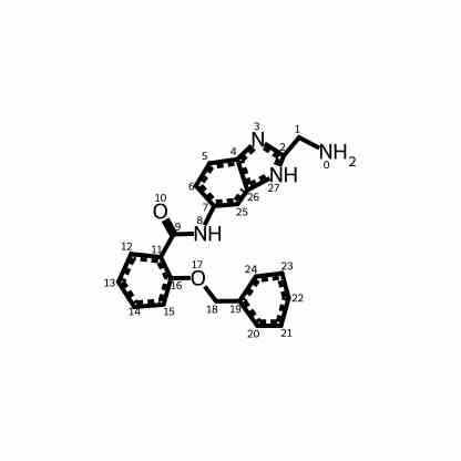 NCc1nc2ccc(NC(=O)c3ccccc3OCc3ccccc3)cc2[nH]1